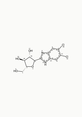 OC[C@H]1OC(c2nc3cc(Cl)c(Cl)cc3[nH]2)[C@@H](O)[C@@H]1O